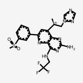 C[C@@H](Cn1cncn1)c1cc(-c2cccc(S(C)(=O)=O)c2)nc2c(NCC(F)(F)F)nc(N)nc12